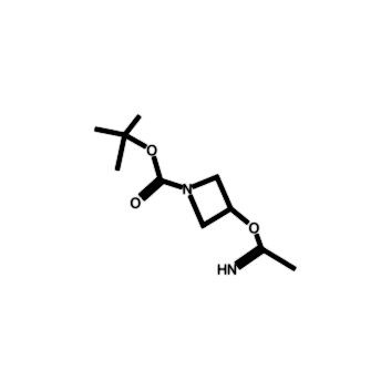 CC(=N)OC1CN(C(=O)OC(C)(C)C)C1